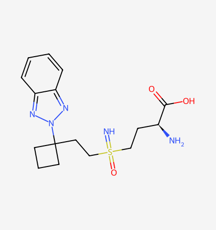 N=S(=O)(CC[C@H](N)C(=O)O)CCC1(n2nc3ccccc3n2)CCC1